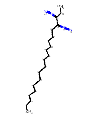 CCCCCCCCCCCCCCCCC(=[N+]=[N-])C(CC)=[N+]=[N-]